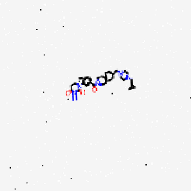 Cc1ccc(C(=O)N2CCC3(CCC(CN4CCN(CC5CC5)CC4)CC3)CC2)cc1N1CCC(=O)NC1=O